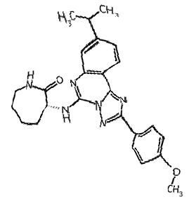 COc1ccc(-c2nc3c4ccc(C(C)C)cc4nc(N[C@@H]4CCCCNC4=O)n3n2)cc1